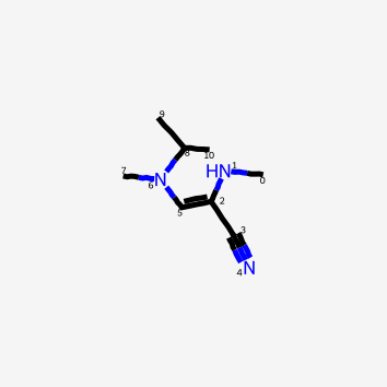 CN/C(C#N)=C\N(C)C(C)C